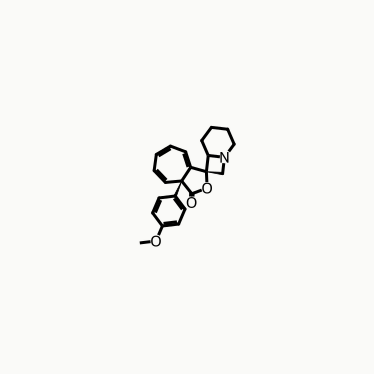 COc1ccc([C@@]23C=CC=CC=C2[C@@]2(CN4CCCCC42)OC3=O)cc1